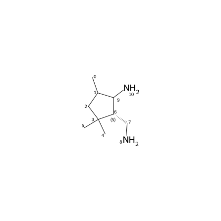 CC1CC(C)(C)[C@@H](CN)C1N